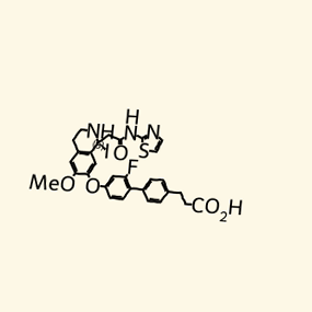 COc1cc2c(cc1Oc1ccc(-c3ccc(CCC(=O)O)cc3)c(F)c1)[C@@](I)(CC(=O)Nc1nccs1)NCC2